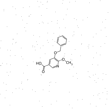 COc1ncc(C(=O)O)cc1OCc1ccccc1